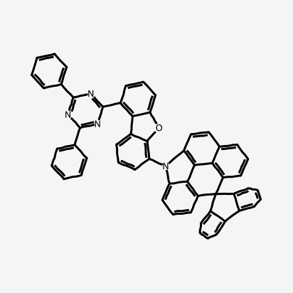 c1ccc(-c2nc(-c3ccccc3)nc(-c3cccc4oc5c(-n6c7cccc8c7c7c9c(cccc9ccc76)C86c7ccccc7-c7ccccc76)cccc5c34)n2)cc1